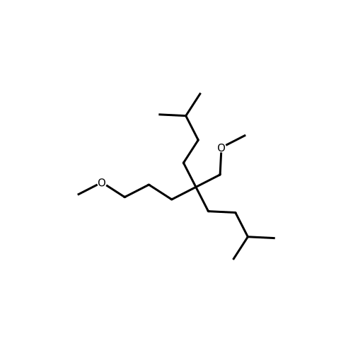 COCCCC(CCC(C)C)(CCC(C)C)COC